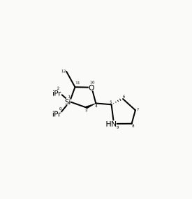 CC(C)[Si]1(C(C)C)C[C@H]([C@@H]2CCCN2)OC1C